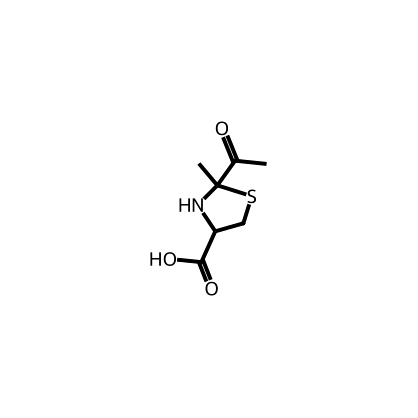 CC(=O)C1(C)NC(C(=O)O)CS1